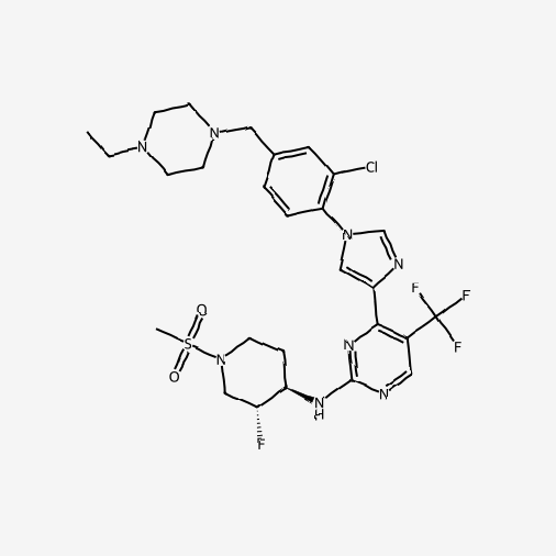 CCN1CCN(Cc2ccc(-n3cnc(-c4nc(N[C@@H]5CCN(S(C)(=O)=O)C[C@H]5F)ncc4C(F)(F)F)c3)c(Cl)c2)CC1